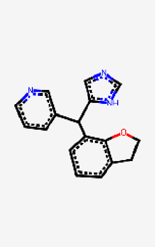 c1cncc(C(c2cnc[nH]2)c2cccc3c2OCC3)c1